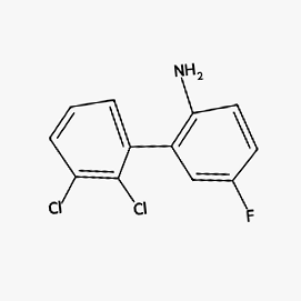 Nc1ccc(F)cc1-c1cccc(Cl)c1Cl